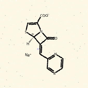 O=C([O-])C1=CS[C@@H]2/C(=C/c3cnccn3)C(=O)N12.[Na+]